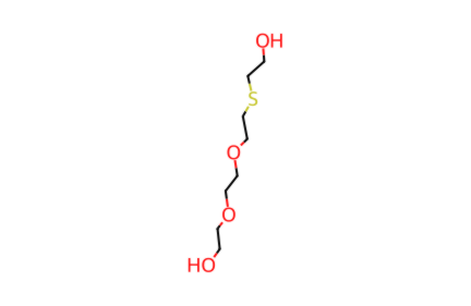 OCCOCCOCCSCCO